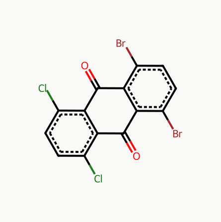 O=C1c2c(Cl)ccc(Cl)c2C(=O)c2c(Br)ccc(Br)c21